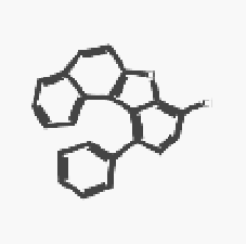 Clc1ccc(-c2ccccc2)c2c1oc1ccc3ccccc3c12